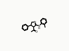 CC(=O)C1C(Nc2ccccc2C)=NCC1c1ccccc1